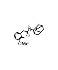 COc1cccc(CC(=O)N(C)C2C3CC4CC(C3)CC2C4)c1C